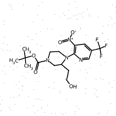 CC(C)(C)OC(=O)N1CCN(c2ncc(C(F)(F)F)cc2[N+](=O)[O-])C(CCO)C1